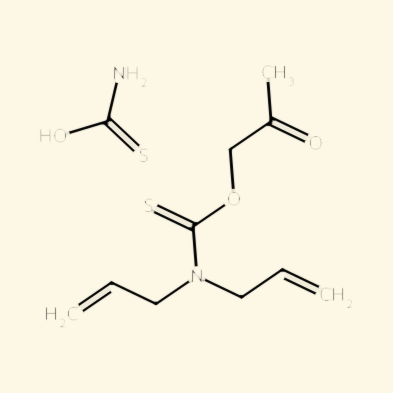 C=CCN(CC=C)C(=S)OCC(C)=O.NC(O)=S